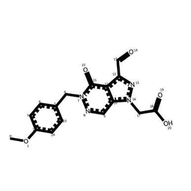 COc1ccc(Cn2ncc3c(c(C=O)nn3CC(=O)O)c2=O)cc1